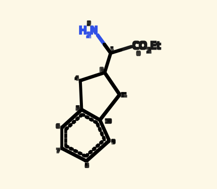 CCOC(=O)C(N)C1Cc2ccccc2C1